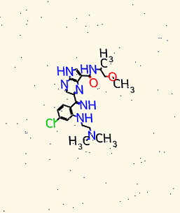 COCC(C)NC(=O)c1c[nH]c2ncc(C(=N)c3ccc(Cl)cc3NCCN(C)C)nc12